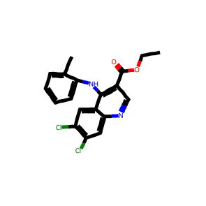 CCOC(=O)c1cnc2cc(Cl)c(Cl)cc2c1Nc1ccccc1C